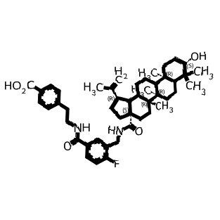 C=C(C)[C@@H]1CC[C@]2(C(=O)NCc3cc(C(=O)NCCc4ccc(C(=O)O)cc4)ccc3F)CC[C@]3(C)C(CCC4[C@@]5(C)CC[C@H](O)C(C)(C)C5CC[C@]43C)C12